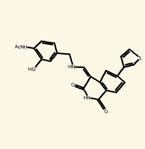 CC(=O)Nc1ccc(CN/C=C2\C(=O)NC(=O)c3ccc(-c4ccsc4)cc32)cc1O